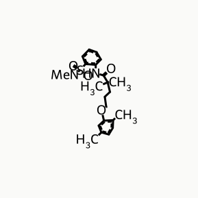 CNS(=O)(=O)c1ccccc1NC(=O)C(C)(C)CCCOc1cc(C)ccc1C